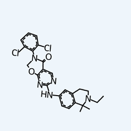 CCN1CCc2cc(Nc3ncc4c(n3)OCN(c3c(Cl)cccc3Cl)C4=O)ccc2C1(C)C